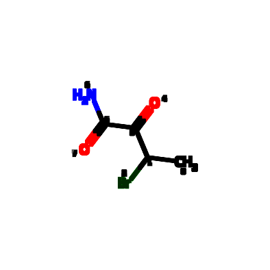 CC(Br)C(=O)C(N)=O